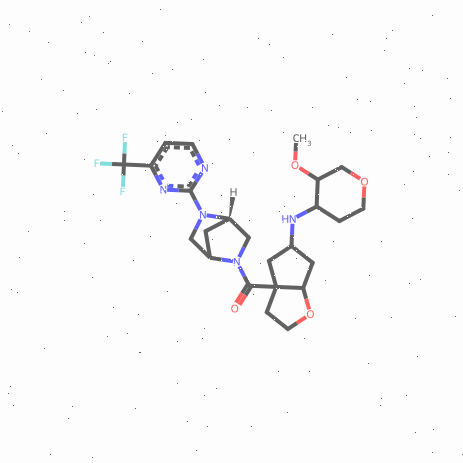 COC1COCCC1NC1CC2OCCC2(C(=O)N2C[C@@H]3CC2CN3c2nccc(C(F)(F)F)n2)C1